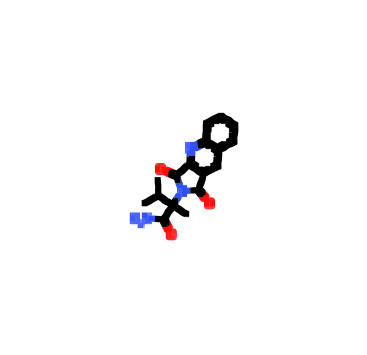 CC(C)C(C)(C(N)=O)N1C(=O)c2cc3ccccc3nc2C1=O